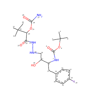 CC(C)(C)OC(=O)NC(Cc1ccc(I)cc1)C(O)CNNC(=O)C(OC(N)=O)C(C)(C)C